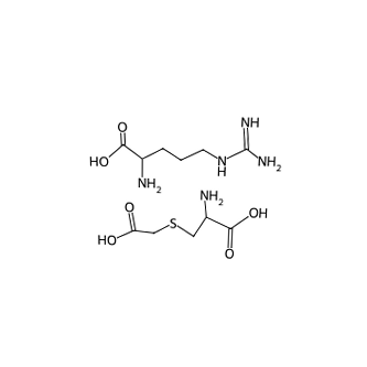 N=C(N)NCCCC(N)C(=O)O.NC(CSCC(=O)O)C(=O)O